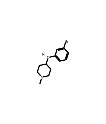 CN1CCC(Oc2cccc(Br)c2)CC1.[N]